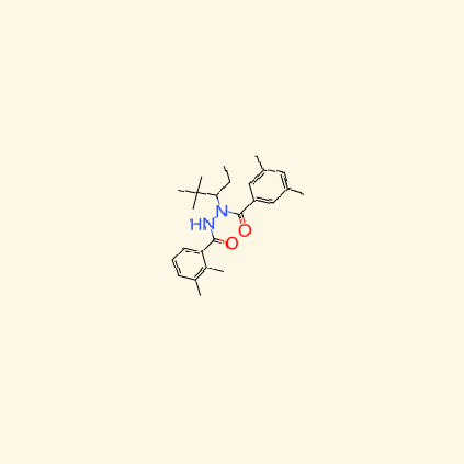 CCC(N(NC(=O)c1cccc(C)c1C)C(=O)c1cc(C)cc(C)c1)C(C)(C)C